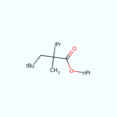 CCCOC(=O)C(C)(CC(C)(C)C)C(C)C